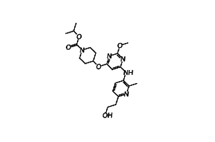 COc1nc(Nc2ccc(CCO)nc2C)cc(OC2CCN(C(=O)OC(C)C)CC2)n1